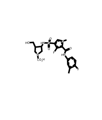 Cc1cc(NC(=O)c2c(F)c(S(=O)(=O)NC3CN(C(=O)O)CC3CO)cn2C)ccc1F